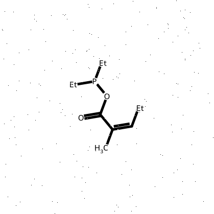 CCC=C(C)C(=O)OP(CC)CC